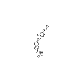 CC(=O)NC(C)c1cc2cc(OCc3cnc(OCC4CC4)cc3F)ccc2o1